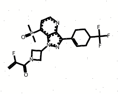 C=C(F)C(=O)N1CC(n2nc(C3=CCC(C(F)(F)F)CC3)c3nccc(P(C)(C)=O)c32)C1